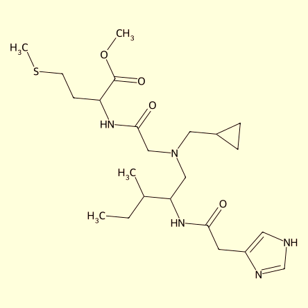 CCC(C)C(CN(CC(=O)NC(CCSC)C(=O)OC)CC1CC1)NC(=O)Cc1c[nH]cn1